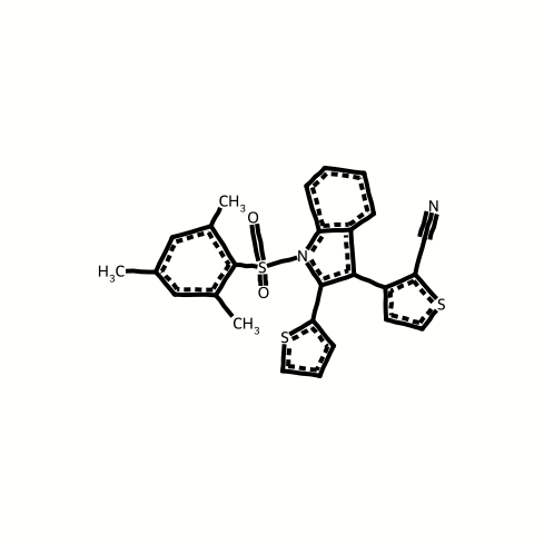 Cc1cc(C)c(S(=O)(=O)n2c(-c3cccs3)c(-c3ccsc3C#N)c3ccccc32)c(C)c1